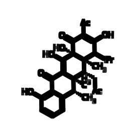 CC(=O)C[C@@H]1[C@]2(C)C(=C(O)[C@@]3(O)C(=O)C(C(C)=O)=C(O)C(C(C)C)[C@@]13C)C(=O)c1c(O)cccc1[C@H]2C